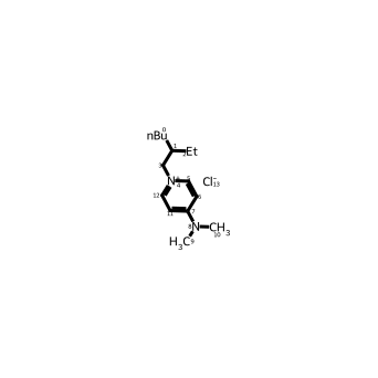 CCCCC(CC)C[n+]1ccc(N(C)C)cc1.[Cl-]